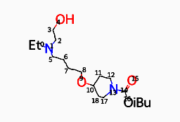 CCN(CCO)CCCCOC1CCN(C(=O)OCC(C)C)CC1